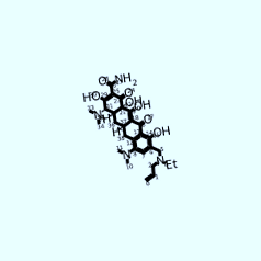 C=CCN(CC)Cc1cc(N(C)C)c2c(c1O)C(=O)C1=C(O)[C@]3(O)C(=O)C(C(N)=O)=C(O)[C@@H](N(C)C)[C@@H]3C[C@@H]1C2